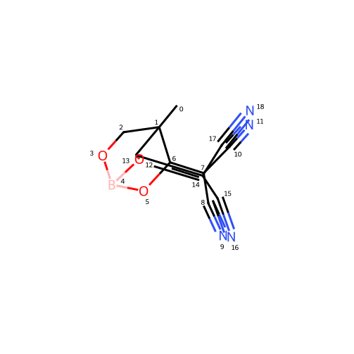 CC12COB(OC1=C(C#N)C#N)OC2=C(C#N)C#N